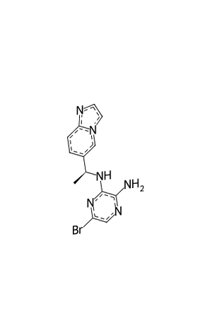 C[C@H](Nc1nc(Br)cnc1N)c1ccc2nccn2c1